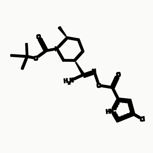 C[C@@H]1CC[C@H](C(N)=NOC(=O)c2cc(Cl)c[nH]2)CN1C(=O)OC(C)(C)C